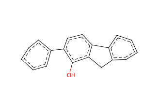 Oc1c(-c2ccccc2)ccc2c1Cc1ccccc1-2